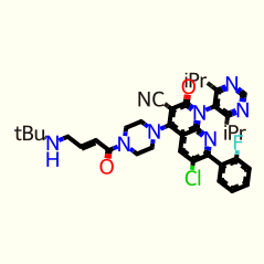 CC(C)c1ncnc(C(C)C)c1-n1c(=O)c(C#N)c(N2CCN(C(=O)C=CCNC(C)(C)C)CC2)c2cc(Cl)c(-c3ccccc3F)nc21